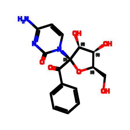 Nc1ccn([C@]2(C(=O)c3ccccc3)O[C@H](CO)[C@@H](O)[C@H]2O)c(=O)n1